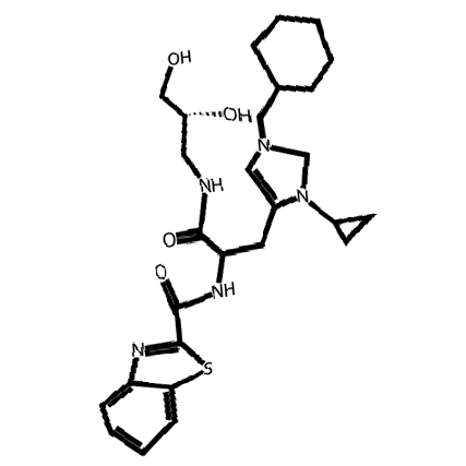 O=C(NC(CC1=CN(CC2CCCCC2)CN1C1CC1)C(=O)NC[C@@H](O)CO)c1nc2ccccc2s1